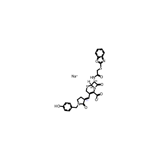 O=C(CSc1nc2ccccc2o1)N[C@@H]1C(=O)N2C(C(=O)[O-])=C(/C=C3\CCN(Cc4ccc(O)cc4)C3=O)CS[C@H]12.[Na+]